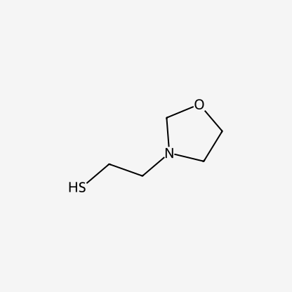 SCCN1CCOC1